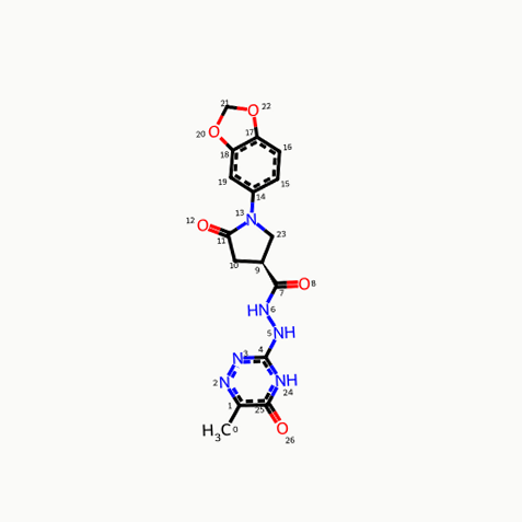 Cc1nnc(NNC(=O)[C@H]2CC(=O)N(c3ccc4c(c3)OCO4)C2)[nH]c1=O